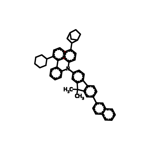 CC1(C)c2cc(-c3ccc4ccccc4c3)ccc2-c2ccc(N(c3ccc(C4CC5CCC4C5)cc3)c3ccccc3-c3ccccc3C3CCCCC3)cc21